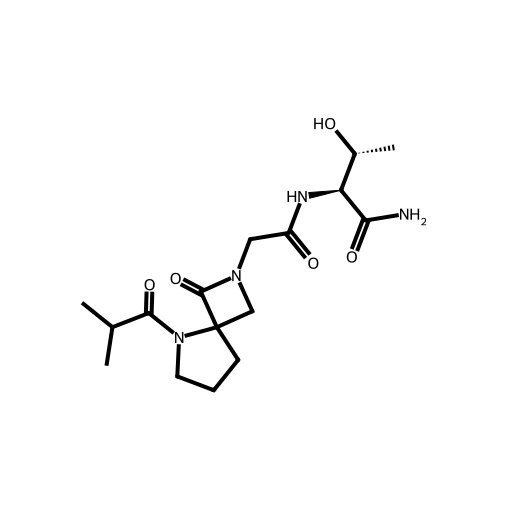 CC(C)C(=O)N1CCCC12CN(CC(=O)N[C@H](C(N)=O)[C@@H](C)O)C2=O